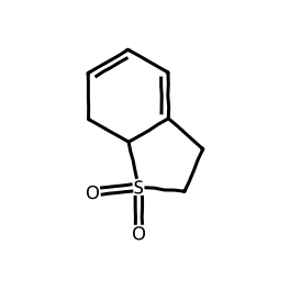 O=S1(=O)CCC2=CC=CCC21